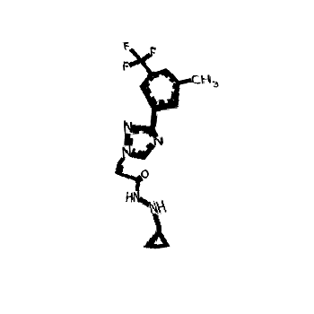 Cc1cc(-c2ncn(/C=C\C(=O)NNC3CC3)n2)cc(C(F)(F)F)c1